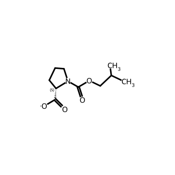 CC(C)COC(=O)N1CCC[C@H]1C([O])=O